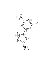 Cc1cc(-c2nc(N)n[nH]2)cc(N)n1